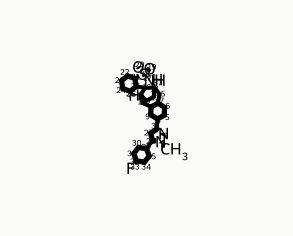 Cn1nc(-c2ccc3c(c2)C[C@H]2CC[C@@H](C3)[C@@]23NS(=O)(=O)c2ccccc23)cc1-c1ccc(F)cc1